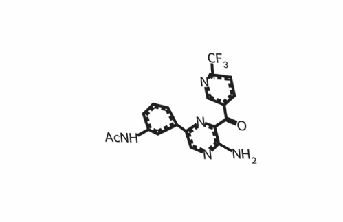 CC(=O)Nc1cccc(-c2cnc(N)c(C(=O)c3ccc(C(F)(F)F)nc3)n2)c1